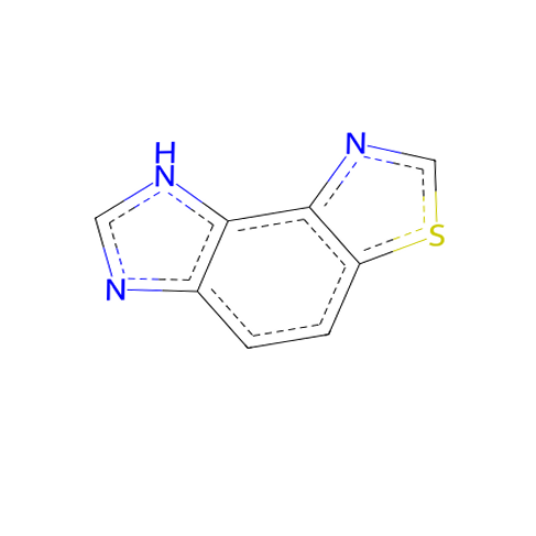 c1nc2ccc3scnc3c2[nH]1